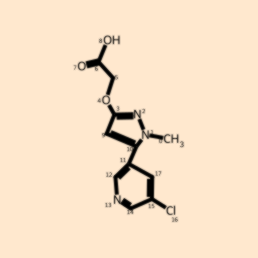 Cn1nc(OCC(=O)O)cc1-c1cncc(Cl)c1